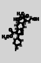 COC(=O)c1c(-c2ccc(F)cc2)nn2cc(N(CCO)S(C)(=O)=O)c(O)cc12